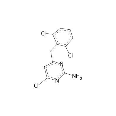 Nc1nc(Cl)cc(Cc2c(Cl)cccc2Cl)n1